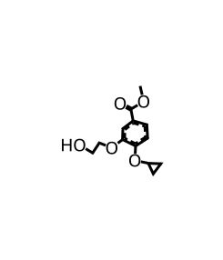 COC(=O)c1ccc(OC2CC2)c(OCCO)c1